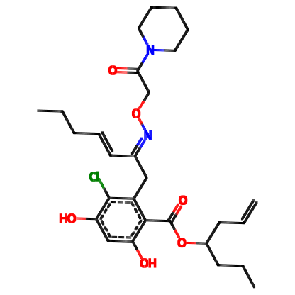 C=CCC(CCC)OC(=O)c1c(O)cc(O)c(Cl)c1CC(/C=C/CCC)=N/OCC(=O)N1CCCCC1